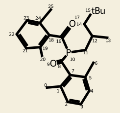 Cc1cccc(C)c1C(=O)P(CC(C)CC(C)(C)C)C(=O)c1c(C)cccc1C